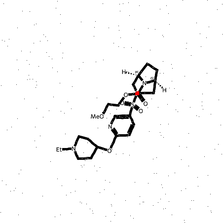 CCN1CCC(Oc2ccc(S(=O)(=O)N3C[C@H]4CC[C@@H](C3)N4C(=O)OCCOC)cn2)CC1